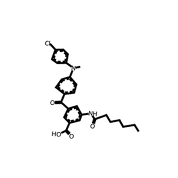 CCCCCCC(=O)Nc1cc(C(=O)O)cc(C(=O)c2ccc(N(C)c3ccc(Cl)cc3)cc2)c1